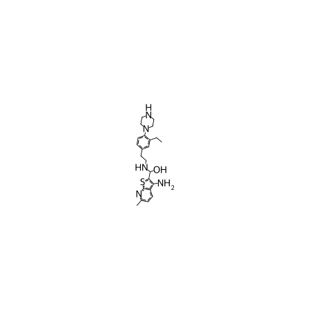 CCc1cc(CCNC(O)c2sc3nc(C)ccc3c2N)ccc1N1CCNCC1